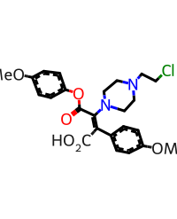 COc1ccc(OC(=O)/C(=C(\C(=O)O)c2ccc(OC)cc2)N2CCN(CCCl)CC2)cc1